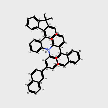 CC1(C)c2ccccc2-c2c(-c3ccccc3N(c3cccc(-c4ccc5ccccc5c4)c3)c3ccccc3-c3cccc4ccccc34)cccc21